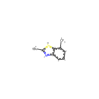 CC(C)(C)c1nc2cccc(C(F)(F)F)c2s1